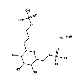 O=P(O)(O)OCCCC1OC(COP(=O)(O)O)C(O)C(O)C1O.[NaH].[NaH]